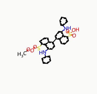 COOOSc1cccc2c(-c3ccc(Nc4ccccc4)c4c(S(=O)(=O)O)cccc34)ccc(Nc3ccccc3)c12